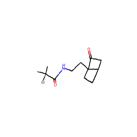 CCC(C)(C)C(=O)NCCC12CCC1CC2=O